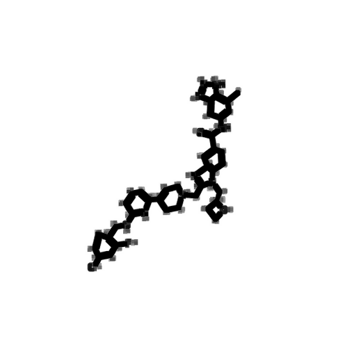 Cc1cc(NC(=O)c2ccc3c(c2)nc(CN2CC=C(c4cccc(OCc5ccc(Cl)cc5F)n4)CC2)n3C[C@@H]2CCO2)cc2nn[nH]c12